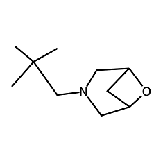 CC(C)(C)CN1CC2CC(C1)O2